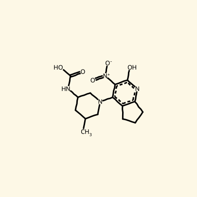 CC1CC(NC(=O)O)CN(c2c3c(nc(O)c2[N+](=O)[O-])CCC3)C1